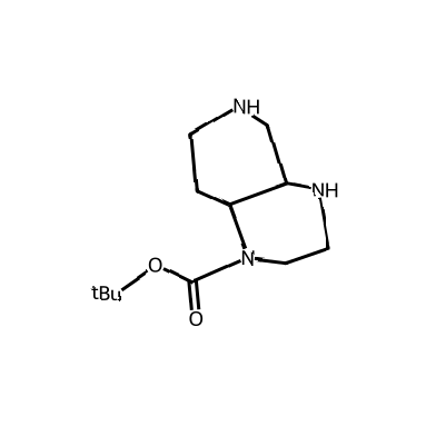 CC(C)(C)OC(=O)N1CCNC2CNCCC21